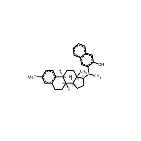 COc1ccc2c(c1)CC[C@@H]1[C@@H]2CC[C@]2(C)[C@@H](N(C)c3cc4ccccc4cc3O)CC[C@@H]12